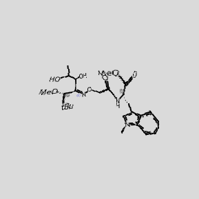 COC(=O)[C@H](Cc1cn(C)c2ccccc12)NC(=O)CO/N=C(\C(O)C(C)O)[C@@H](OC)C(C)(C)C